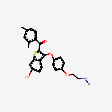 CCNCCOc1ccc(Oc2c(C(=O)c3ccc(C)cc3C)sc3cc(O)ccc23)cc1